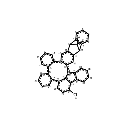 CC1(C)C2c3ccccc3C1c1cc3c(cc12)c1ccccc1c1ccccc1c1ccc(Cl)c2c4ccccc4n3c12